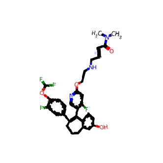 CN(C)C(=O)/C=C/CNCCOc1cc(F)c(C2=C(c3ccc(OC(F)F)c(F)c3)CCCc3cc(O)ccc32)cn1